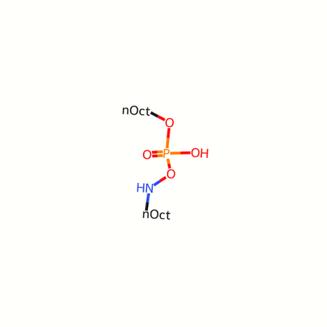 CCCCCCCCNOP(=O)(O)OCCCCCCCC